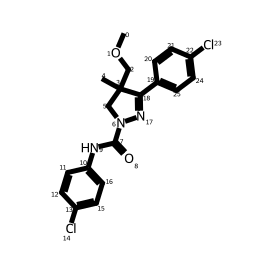 COCC1(C)CN(C(=O)Nc2ccc(Cl)cc2)N=C1c1ccc(Cl)cc1